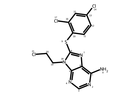 Nc1ncnc2c1nc(Sc1ccc(Cl)cc1Cl)n2CCCl